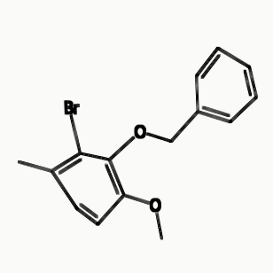 COc1ccc(C)c(Br)c1OCc1ccccc1